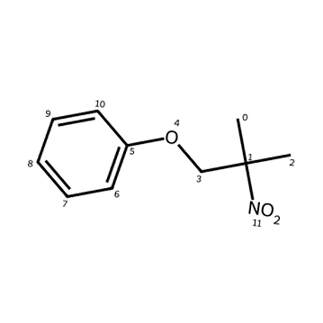 CC(C)(COc1ccccc1)[N+](=O)[O-]